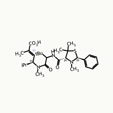 C/C(=C\[C@H](C(C)C)N(C)C(=O)C(NC(=O)[C@H]1N(C)[C@H](c2ccccc2)SC1(C)C)C(C)(C)C)C(=O)O